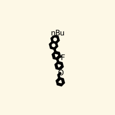 CCCCC1CCC2CC(c3ccc(-c4ccc(OCc5ccccc5)cc4)c(F)c3)CCC2C1